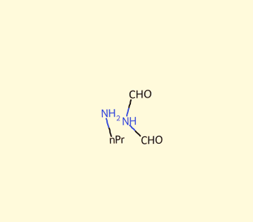 CCCN.O=CNC=O